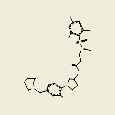 COc1cc(C)c(S(=O)(=O)N(C)CCC(=O)NC2CCN(c3ccc(CN4CCCC4)cc3Cl)C2)c(C)c1